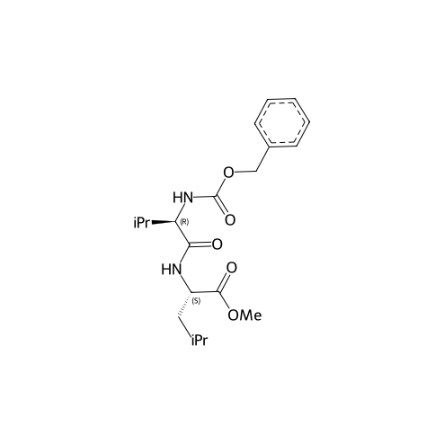 COC(=O)[C@H](CC(C)C)NC(=O)[C@H](NC(=O)OCc1ccccc1)C(C)C